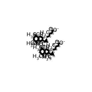 CC(/C=C/[C@@H]1C[C@]1(C)c1ccc2c(c1)C(C)(C)CCC2(C)C)=C\C(=O)[O-].CC(/C=C/[C@@H]1C[C@]1(C)c1ccc2c(c1)C(C)(C)CCC2(C)C)=C\C(=O)[O-].[Ca+2]